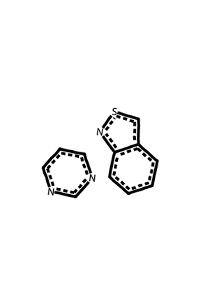 c1ccc2nscc2c1.c1cncnc1